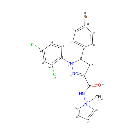 C[N+]1(NC(=O)C2=NN(c3ccc(Cl)cc3Cl)C(c3ccc(Br)cc3)C2)C=CC=C1